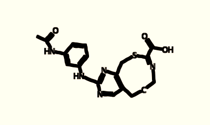 CC(=O)Nc1cccc(Nc2ncc3c(n2)CS/C(C(=O)O)=N\CCC3)c1